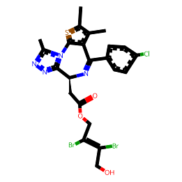 Cc1sc2c(c1C)C(c1ccc(Cl)cc1)=N[C@@H](CC(=O)OC/C(Br)=C(\Br)CO)c1nnc(C)n1-2